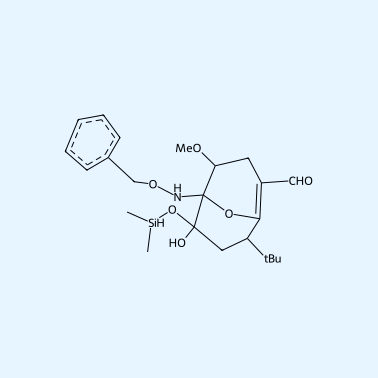 COC1CC(C=O)=C2OC1(NOCc1ccccc1)C(O)(O[SiH](C)C)CC2C(C)(C)C